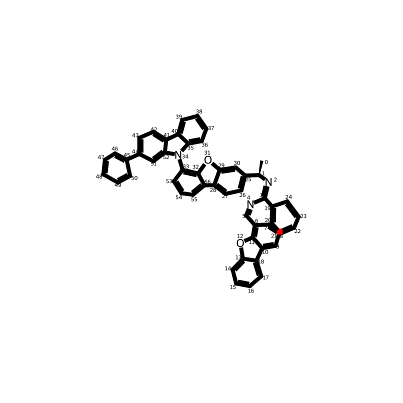 C[C@@H](/N=C(\N=C/c1cccc2c1oc1ccccc12)c1ccccc1)c1ccc2c(c1)oc1c(-n3c4ccccc4c4ccc(-c5ccccc5)cc43)cccc12